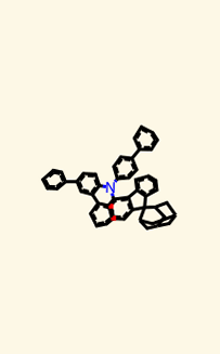 c1ccc(-c2ccc(N(c3ccc(-c4ccccc4)cc3-c3ccccc3)c3cccc4c3-c3ccccc3C43C4CC5CC(C4)CC3C5)cc2)cc1